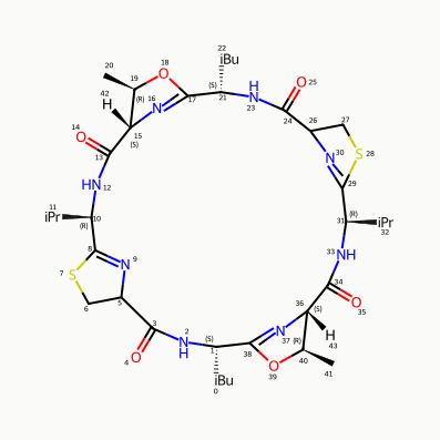 CCC(C)[C@@H]1NC(=O)C2CSC(=N2)[C@@H](C(C)C)NC(=O)[C@H]2N=C(O[C@@H]2C)[C@H](C(C)CC)NC(=O)C2CSC(=N2)[C@@H](C(C)C)NC(=O)[C@H]2N=C1O[C@@H]2C